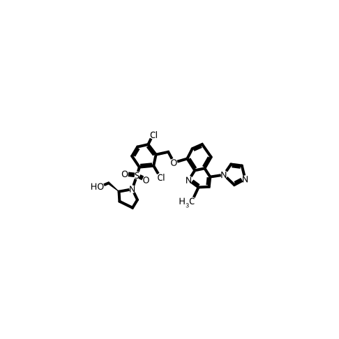 Cc1cc(-n2ccnc2)c2cccc(OCc3c(Cl)ccc(S(=O)(=O)N4CCC[C@H]4CO)c3Cl)c2n1